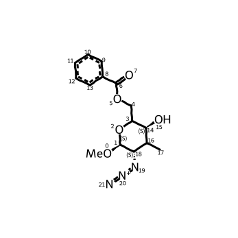 CO[C@H]1OC(COC(=O)c2ccccc2)[C@@H](O)C(C)[C@@H]1N=[N+]=[N-]